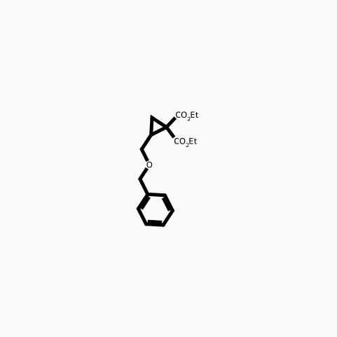 CCOC(=O)C1(C(=O)OCC)CC1COCc1ccccc1